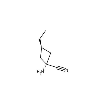 CC[C@H]1C[C@@](N)(C#N)C1